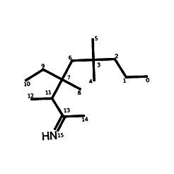 CCCC(C)(C)CC(C)(CC)C(C)C(C)=N